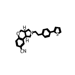 N#Cc1ccc2c(c1)[C@@H]1CN(CCc3ccc(-c4cccs4)cc3)C[C@H]1CO2